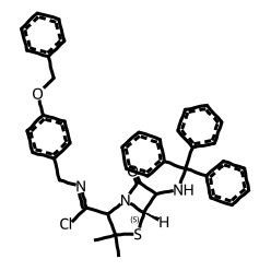 CC1(C)S[C@H]2C(NC(c3ccccc3)(c3ccccc3)c3ccccc3)C(=O)N2C1C(Cl)=NCc1ccc(OCc2ccccc2)cc1